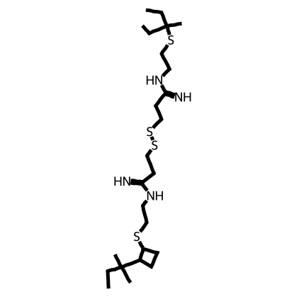 CCC(C)(CC)SCCNC(=N)CCSSCCC(=N)NCCSC1CCC1C(C)(C)CC